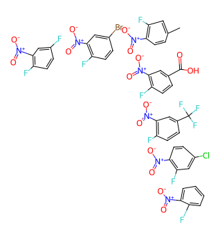 Cc1ccc([N+](=O)[O-])c(F)c1.O=C(O)c1ccc(F)c([N+](=O)[O-])c1.O=[N+]([O-])c1cc(Br)ccc1F.O=[N+]([O-])c1cc(C(F)(F)F)ccc1F.O=[N+]([O-])c1cc(F)ccc1F.O=[N+]([O-])c1ccc(Cl)cc1F.O=[N+]([O-])c1ccccc1F